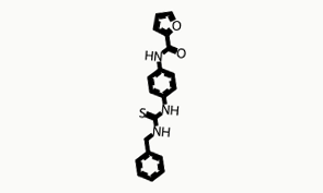 O=C(Nc1ccc(NC(=S)NCc2ccccc2)cc1)c1ccco1